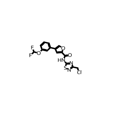 O=C(Nc1nc(CCl)ns1)c1cc(-c2cccc(OC(F)F)c2)co1